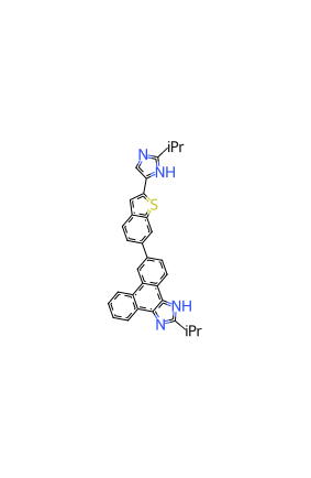 CC(C)c1ncc(-c2cc3ccc(-c4ccc5c(c4)c4ccccc4c4nc(C(C)C)[nH]c54)cc3s2)[nH]1